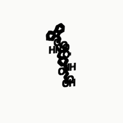 COC(=O)C(Cc1ccc(NC(=O)CCC(=O)O)cc1)NC(=O)OCC1c2ccccc2-c2ccccc21